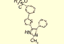 Cc1nc(-c2ccccc2)c(-c2ccc(-c3cccc(S(C)(=O)=O)c3)s2)[nH]1